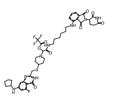 O=C1CCC(N2C(=O)c3cccc(NCCCCCCNC(=O)C(OC(=O)C(F)(F)F)N4CCC(SCc5nc6cc(NC7CCCC7)cc(F)c6c(=O)[nH]5)CC4)c3C2=O)C(=O)N1